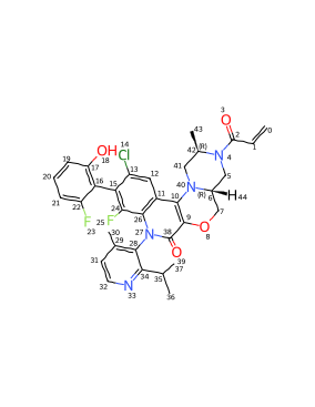 C=CC(=O)N1C[C@@H]2COc3c(c4cc(Cl)c(-c5c(O)cccc5F)c(F)c4n(-c4c(C)ccnc4C(C)C)c3=O)N2C[C@H]1C